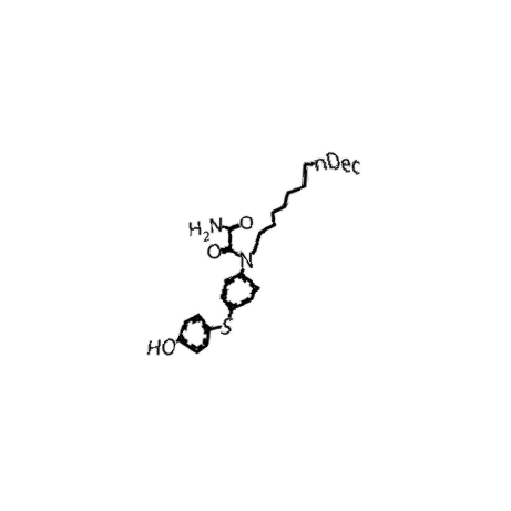 CCCCCCCCCCCCCCCCCCN(C(=O)C(N)=O)c1ccc(Sc2ccc(O)cc2)cc1